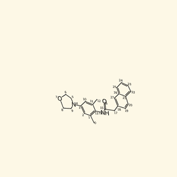 Cc1cc(N2CCOCC2)cc(C)c1NC(=O)Cc1ccc2ccccc2c1